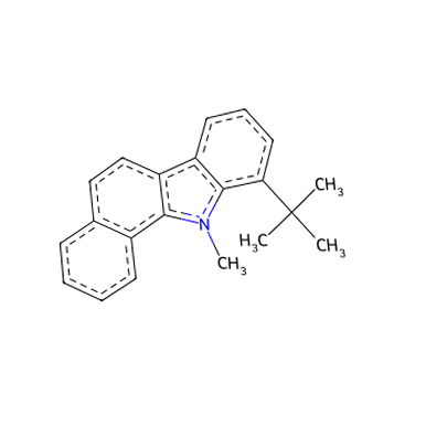 Cn1c2c(C(C)(C)C)cccc2c2ccc3ccccc3c21